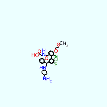 COCCOc1ccc(C(=O)NCC(=O)O)c(-c2cc(C(CNC3CCC(N)CC3)c3ccccc3)cc(F)c2Cl)c1F